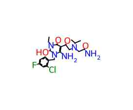 CCN1C(=O)C(C(=O)CN(CC(N)=O)C(C)C)=C(N)N(Cc2ccc(F)cc2Cl)C1O